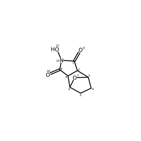 O=C1C2C3CCC(O3)C2C(=O)N1O